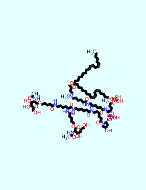 CCCCC/C=C\C/C=C\CCCCCCCCC1(CCCCCCCC/C=C\C/C=C\CCCCC)OCC(CCN(C)CCCCCC(=O)NCCCCCC(=O)NCC(CCCOP(=O)(O)S)OP(=O)(O)OC[C@@H]2CC(O)CN2C(=O)CCCCCNC(=O)CCCCCNC(=O)C(CCCCNC(=O)CCCCO[C@@H]2OC(CO)C(O)[C@H](O)C2NC(C)=O)NC(=O)CCCCOC2OC(CO)C[C@H](O)[C@@H]2NC(C)=O)O1